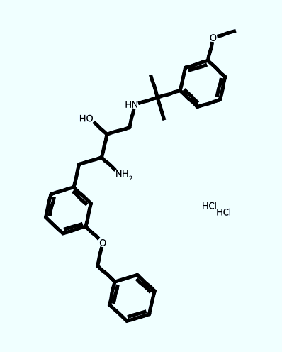 COc1cccc(C(C)(C)NCC(O)C(N)Cc2cccc(OCc3ccccc3)c2)c1.Cl.Cl